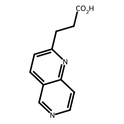 O=C(O)CCc1ccc2cnccc2n1